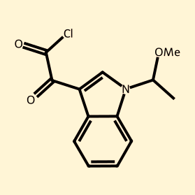 COC(C)n1cc(C(=O)C(=O)Cl)c2ccccc21